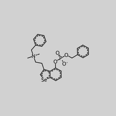 C[N+](C)(CCc1c[se]c2cccc(OP(=O)([O-])OCc3ccccc3)c12)Cc1ccccc1